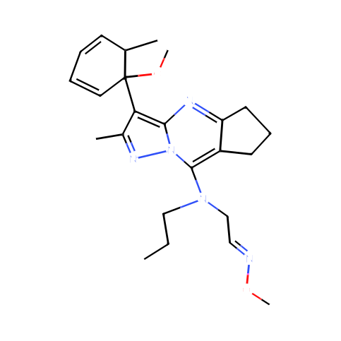 CCCN(CC=NOC)c1c2c(nc3c(C4(OC)C=CC=CC4C)c(C)nn13)CCC2